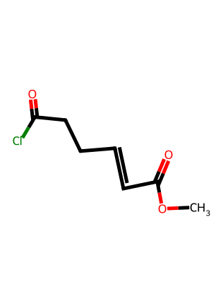 COC(=O)/C=C/CCC(=O)Cl